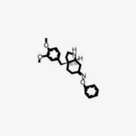 COc1ccc(C[C@@]23CCN[C@H]2CC(=NOc2ccccc2)CC3)cc1OC